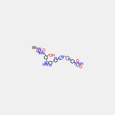 C[C@@H](NC(=O)c1noc(C(C)(C)C)n1)c1ccc(-c2n[nH]c3ncc(-c4ccc(N5CCN(CC6CCN(c7ccc(N8CCC(=O)NC8=O)cc7)CC6)CC5)nc4)cc23)cc1CO